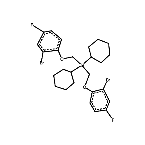 Fc1ccc(OC[Si](COc2ccc(F)cc2Br)(C2CCCCC2)C2CCCCC2)c(Br)c1